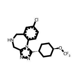 FC(F)(F)O[C@H]1CC[C@H](c2nnc3n2-c2ccc(Cl)cc2CNC3)CC1